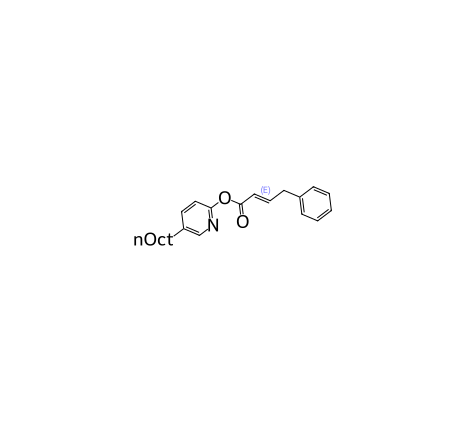 CCCCCCCCc1ccc(OC(=O)/C=C/Cc2ccccc2)nc1